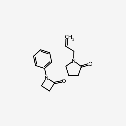 C=CCN1CCCC1=O.O=C1CCN1c1ccccc1